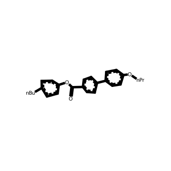 CCCCc1ccc(OC(=O)c2ccc(-c3ccc(OCCC)cc3)cc2)cc1